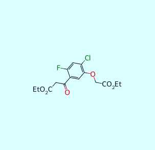 CCOC(=O)COc1cc(C(=O)CC(=O)OCC)c(F)cc1Cl